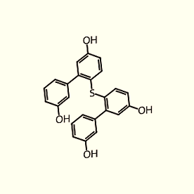 Oc1cccc(-c2cc(O)ccc2Sc2ccc(O)cc2-c2cccc(O)c2)c1